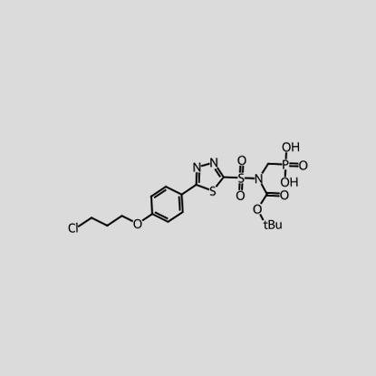 CC(C)(C)OC(=O)N(CP(=O)(O)O)S(=O)(=O)c1nnc(-c2ccc(OCCCCl)cc2)s1